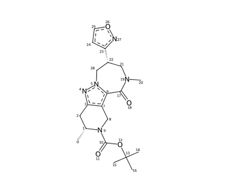 C[C@@H]1Cc2nn3c(c2CN1C(=O)OC(C)(C)C)C(=O)N(C)C[C@@H](c1ccon1)C3